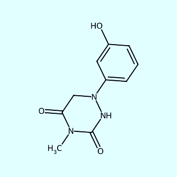 CN1C(=O)CN(c2cccc(O)c2)NC1=O